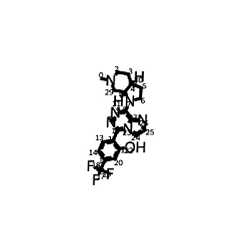 CN1CC[C@@H]2CCN(c3nnc(-c4ccc(C(F)(F)F)cc4O)n4ccnc34)[C@@H]2C1